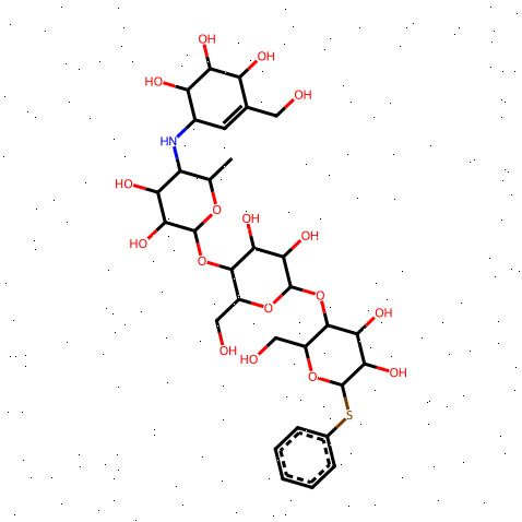 CC1OC(OC2C(CO)OC(OC3C(CO)OC(Sc4ccccc4)C(O)C3O)C(O)C2O)C(O)C(O)C1NC1C=C(CO)C(O)C(O)C1O